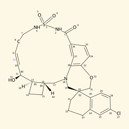 O=C1NS(=O)(=O)NCC/C=C\[C@H](O)[C@@H]2CC[C@H]2CN2C[C@@]3(CCCc4cc(Cl)ccc43)COc3ccc1cc32